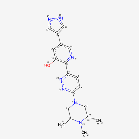 CC1CN(c2ccc(-c3ncc(-c4cn[nH]c4)cc3O)nn2)C[C@H](C)N1C